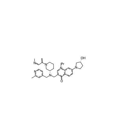 C=C(/C=N\C)N1CCC[C@H](N(Cc2ccnc(C)c2)Cc2cn(C(C)C)c3cc(N4CC[C@@H](O)C4)ccc3c2=O)C1